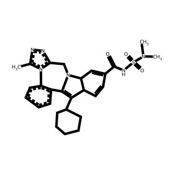 Cc1nnc2n1-c1ccccc1C1=C(C3CCCCC3)C3C=CC(C(=O)NS(=O)(=O)N(C)C)=CC3N1C2